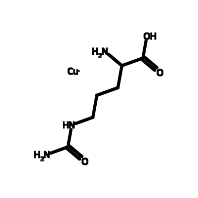 NC(=O)NCCCC(N)C(=O)O.[Cu]